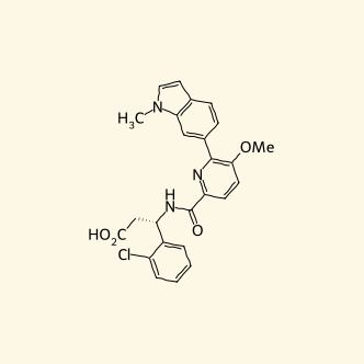 COc1ccc(C(=O)N[C@@H](CC(=O)O)c2ccccc2Cl)nc1-c1ccc2ccn(C)c2c1